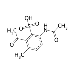 CC(=O)Nc1ccc(C)c(C(C)=O)c1S(=O)(=O)O